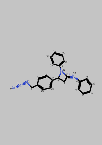 [N-]=[N+]=NCc1ccc(C2C/C(=N\c3ccccc3)N2c2ccccc2)cc1